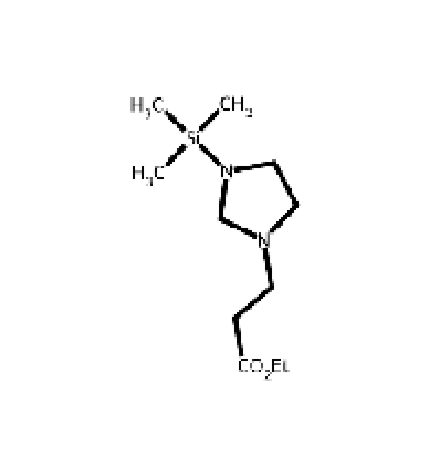 CCOC(=O)CCN1CCN([Si](C)(C)C)C1